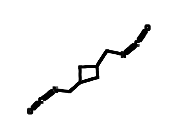 O=C=NCC1CC(CN=C=O)C1